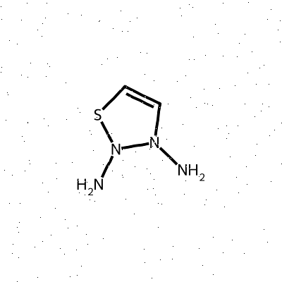 NN1C=CSN1N